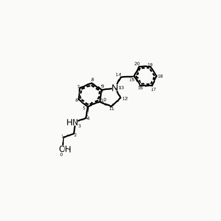 OCCNCc1cccc2c1CCN2Cc1ccccc1